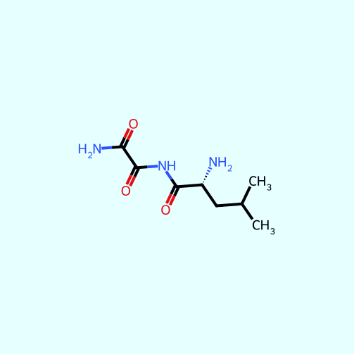 CC(C)C[C@@H](N)C(=O)NC(=O)C(N)=O